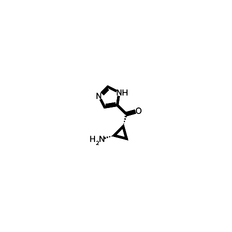 N[C@H]1C[C@H]1C(=O)c1cnc[nH]1